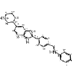 c1ccc(NCc2ccc(-c3nc4cc(C5CCCNC5)cnc4[nH]3)cc2)cc1